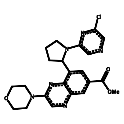 COC(=O)c1cc(C2CCCN2c2cncc(Cl)n2)c2nc(N3CCOCC3)cnc2c1